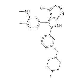 CNc1cc(-c2c(-c3cccc(CN4CCN(C)CC4)c3)[nH]c3nccc(Cl)c23)ccc1C